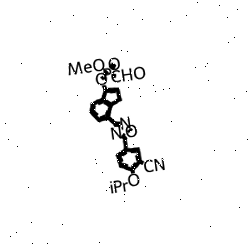 COP(=O)(C=O)OC1=CCc2c1cccc2-c1noc(-c2ccc(OC(C)C)c(C#N)c2)n1